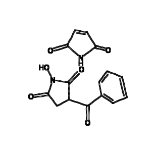 O=C(c1ccccc1)C1CC(=O)N(O)C1=O.O=C1C=CC(=O)N1